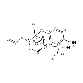 C=CCN1CC[C@]23CC(O)CC[C@@]2(O)[C@H]1Cc1ccc(O)c(OC)c13